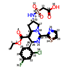 CCOC(=O)C1=C2C[C@H](NS(=O)(=O)CC(=O)O)CN2C(c2nccs2)=N[C@H]1c1ccc(F)cc1Cl